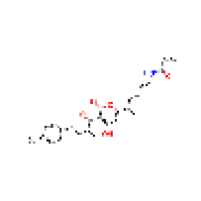 CCCCc1ccc(CCC(C)C(=O)c2c(O)cc(C(C)CC/C=C/NC(=O)OC)oc2=O)cc1